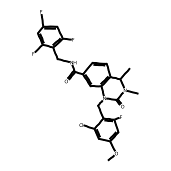 COc1cc(F)c(CN2C(=O)N(C)C(C)c3ccc(C(=O)NCc4c(F)cc(F)cc4F)cc32)c(Cl)c1